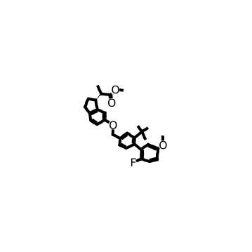 COC(=O)C(C)[C@H]1CCc2ccc(OCc3ccc(-c4cc(OC)ccc4F)c(C(C)(C)C)c3)cc21